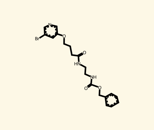 O=C(CCCOc1cncc(Br)c1)NCCNC(=O)OCc1ccccc1